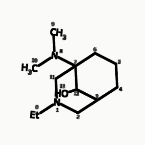 CCN1CC2CCCC(N(C)C)(C1)C2O